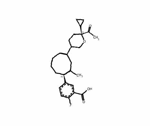 CC(=O)[C@@]1(C2CC2)CCC(C2CCCC[C@H](c3ccc(F)c(C(=O)O)c3)C(C)C2)CO1